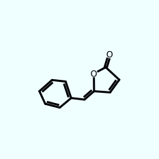 O=C1C=C/C(=C/c2ccccc2)O1